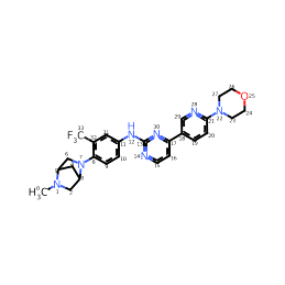 CN1CC2CC1CN2c1ccc(Nc2nccc(-c3ccc(N4CCOCC4)nc3)n2)cc1C(F)(F)F